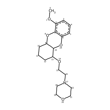 COc1cccc2c1OC1CCCC(OCCN3CCOCC3)C1O2